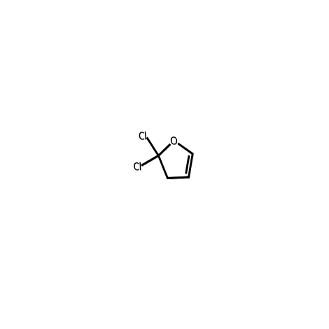 ClC1(Cl)CC=CO1